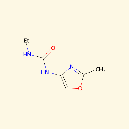 CCNC(=O)Nc1coc(C)n1